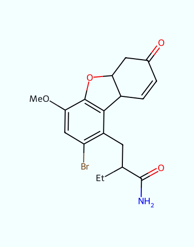 CCC(Cc1c(Br)cc(OC)c2c1C1C=CC(=O)CC1O2)C(N)=O